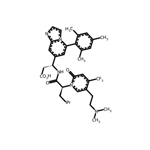 Cc1cc(C)c(-c2cc([C@@H](CC(=O)O)NC(=O)[C@H](CC(C)C)n3cc(CCN(C)C)c(C(F)(F)F)cc3=O)cc3nccn23)c(C)c1